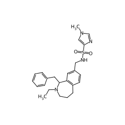 CCN1CCCc2ccc(CNS(=O)(=O)c3cn(C)cn3)cc2C1Cc1ccccc1